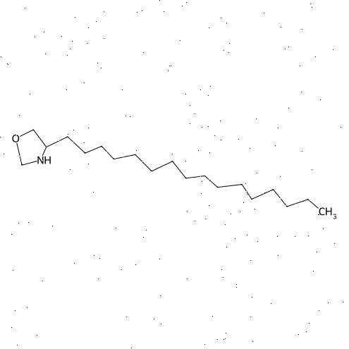 CCCCCCCCCCCCCCCCC1COCN1